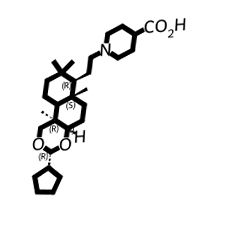 CC1(C)CCC2[C@]3(C)CO[C@@H](C4CCCC4)O[C@@H]3CC[C@@]2(C)[C@@H]1CCN1CCC(C(=O)O)CC1